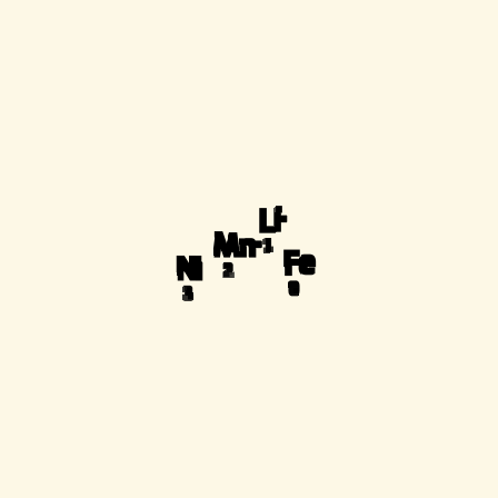 [Fe].[Li].[Mn].[Ni]